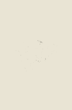 COc1cccc(I)c1-c1c(C(C)C)cc(C(c2ccccc2)c2ccccc2)c(OC)c1C(C)C